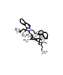 C=CCC1(C)/C(=C/C=C/C=C/C2(C(C)(CC=C(C)C)c3c(C)ccc4ccccc34)CC(CCC(=O)O)C2C)N(CCC(=O)O)c2ccc3ccccc3c21